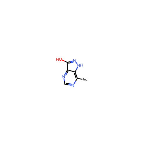 CC(=O)c1ncnc2c(O)n[nH]c12